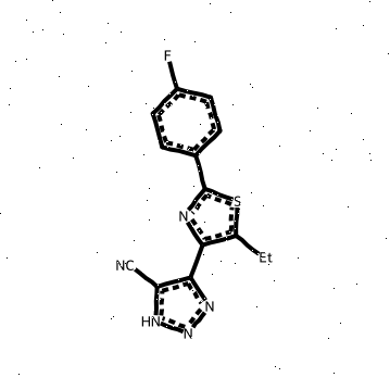 CCc1sc(-c2ccc(F)cc2)nc1-c1nn[nH]c1C#N